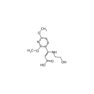 COc1ccc(C(=CC(=O)O)NCCO)c(OC)n1